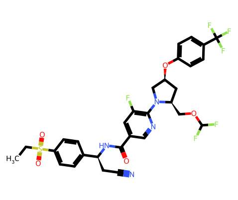 CCS(=O)(=O)c1ccc([C@H](CC#N)NC(=O)c2cnc(N3C[C@@H](Oc4ccc(C(F)(F)F)cc4)C[C@H]3COC(F)F)c(F)c2)cc1